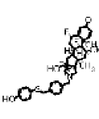 C[C@]12C=CC(=O)C=C1[C@@H](F)C[C@H]1[C@@H]3C[C@H]4CN(Cc5ccc(CSc6ccc(O)cc6)cc5)C[C@@]4(C(=O)CO)[C@@]3(C)C[C@H](O)[C@@]12F